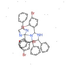 Brc1ccc(C2NC(c3ccccc3)C(c3ccccc3)(c3ccccc3)N2C2(c3ccc(Br)cc3Br)N=CC(c3ccccc3)=N2)c(Br)c1